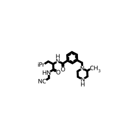 CC(C)CC(NC(=O)c1cccc(CN2CCNCC2C)c1)C(=O)NCC#N